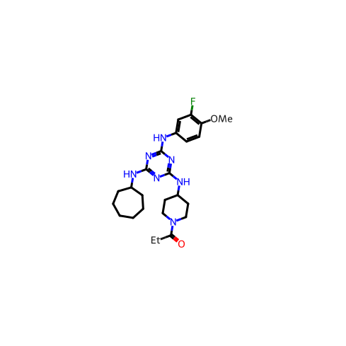 CCC(=O)N1CCC(Nc2nc(Nc3ccc(OC)c(F)c3)nc(NC3CCCCCC3)n2)CC1